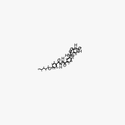 CCCCCOc1ccc(C(=O)NNC(=O)c2cccc(NS(=O)(=O)c3c[nH]c(=O)[nH]c3=O)c2)cc1